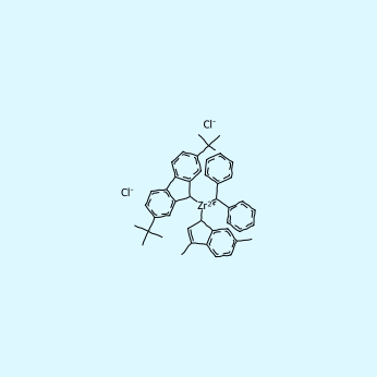 CC1=C[CH]([Zr+2](=[C](c2ccccc2)c2ccccc2)[CH]2c3cc(C(C)(C)C)ccc3-c3ccc(C(C)(C)C)cc32)c2cc(C)ccc21.[Cl-].[Cl-]